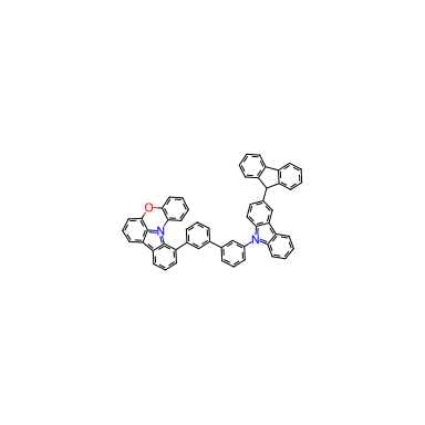 c1cc(-c2cccc(-n3c4ccccc4c4cc(C5c6ccccc6-c6ccccc65)ccc43)c2)cc(-c2cccc3c4cccc5c4n(c23)-c2ccccc2O5)c1